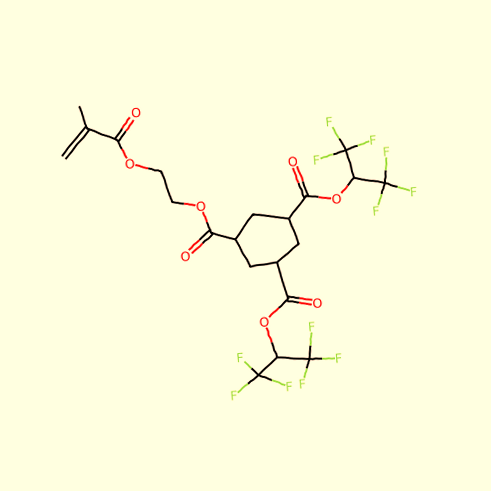 C=C(C)C(=O)OCCOC(=O)C1CC(C(=O)OC(C(F)(F)F)C(F)(F)F)CC(C(=O)OC(C(F)(F)F)C(F)(F)F)C1